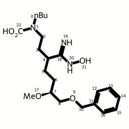 CCCCN(CCC(CC[C@@H](COCc1ccccc1)OC)C(=N)NO)C(=O)O